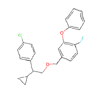 Fc1ccc(COCC(c2ccc(Cl)cc2)C2CC2)cc1Oc1ccccc1